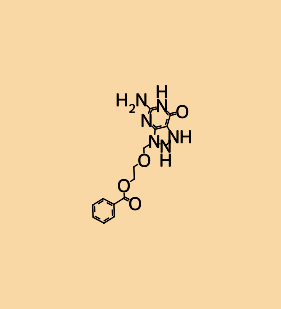 Nc1nc2c(c(=O)[nH]1)NNN2COCCOC(=O)c1ccccc1